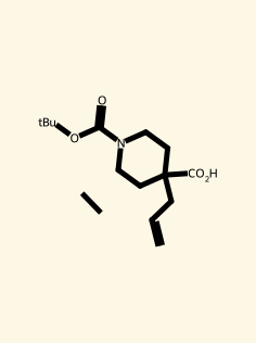 C=CCC1(C(=O)O)CCN(C(=O)OC(C)(C)C)CC1.CC